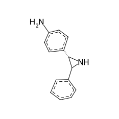 Nc1ccc([C@@H]2NC2c2ccccc2)cc1